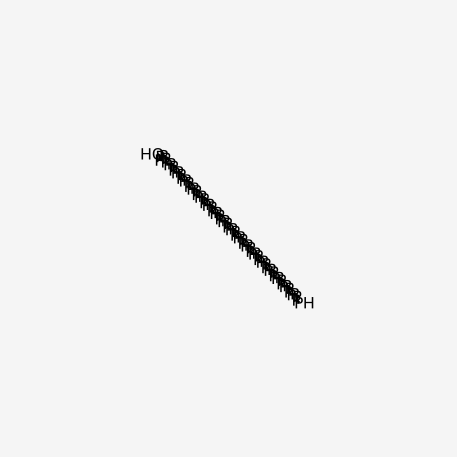 OP(#P)\P=P/P=P\P=P/P=P\P=P/P=P\P=P/P=P\P=P/P=P\P=P/P=P\P=P/P=P\P=P/P=P\P=P/P=P\P=P/P=P\P=P/P=P\P=P/P=P\P=P/P=P\P=P/P=P\P=P/P=P\P=P/P=P\P=P/P=P\P=P/P=P